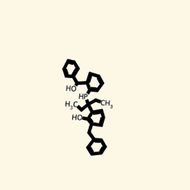 CCC(CC)(Pc1ccccc1C(O)c1ccccc1)c1cccc(Cc2ccccc2)c1O